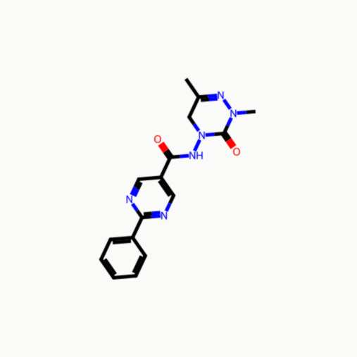 CC1=NN(C)C(=O)N(NC(=O)c2cnc(-c3ccccc3)nc2)C1